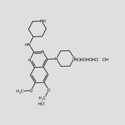 COc1cc2nc(NC3CCNCC3)nc(N3CCOCC3)c2cc1OC.Cl.Cl.Cl.Cl.Cl.Cl